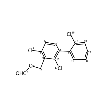 O=COCc1c(Cl)ccc(-c2ccccc2Cl)c1Cl